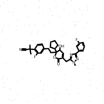 Cn1nc(-c2cccc(F)c2)nc1CC1=CC(O)C(CCc2ccc(C(C)(C)C#N)c(F)c2)(C2CCCC2)OC1=O